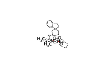 CSc1nc2c(c(N3CC4CCC(C3)N4C(=O)OC(C)(C)C)n1)CCC1(CCc3ccccc31)C2